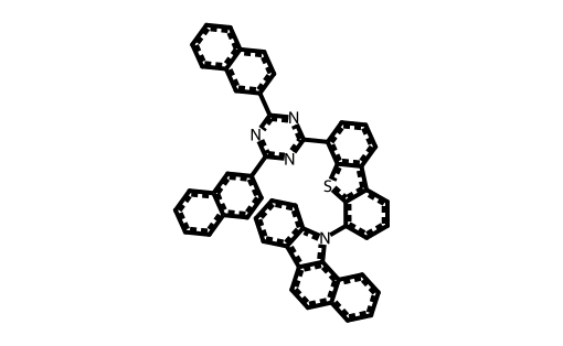 c1ccc2cc(-c3nc(-c4ccc5ccccc5c4)nc(-c4cccc5c4sc4c(-n6c7ccccc7c7ccc8ccccc8c76)cccc45)n3)ccc2c1